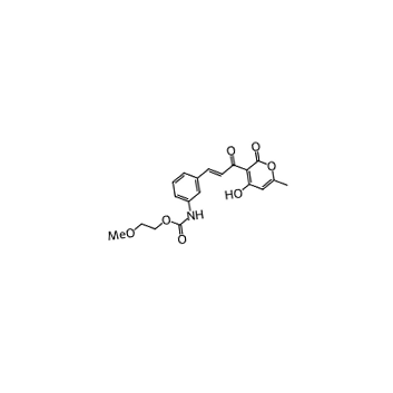 COCCOC(=O)Nc1cccc(C=CC(=O)c2c(O)cc(C)oc2=O)c1